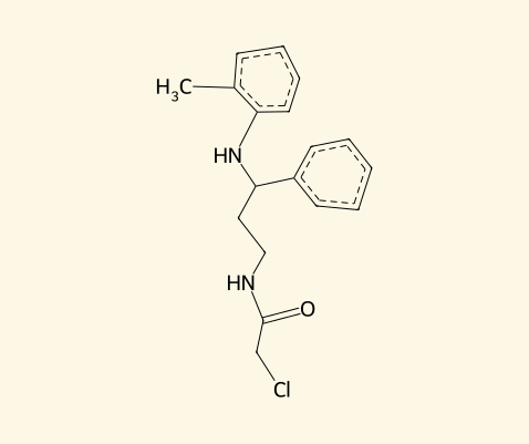 Cc1ccccc1NC(CCNC(=O)CCl)c1ccccc1